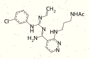 C=C/N=C(\N=C(/N)c1ccnnc1NCCCNC(C)=O)Nc1cccc(Cl)c1